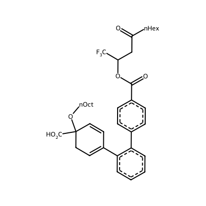 CCCCCCCCOC1(C(=O)O)C=CC(c2ccccc2-c2ccc(C(=O)OC(CC(=O)CCCCCC)C(F)(F)F)cc2)=CC1